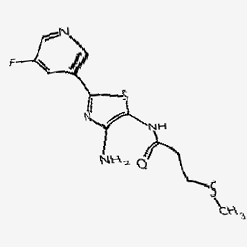 CSCCC(=O)Nc1sc(-c2cncc(F)c2)nc1N